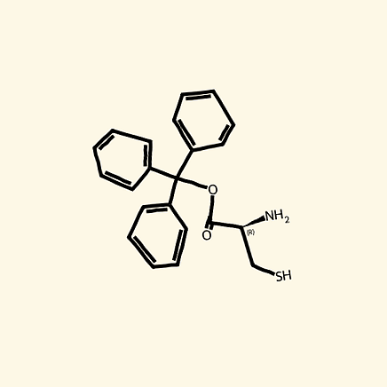 N[C@@H](CS)C(=O)OC(c1ccccc1)(c1ccccc1)c1ccccc1